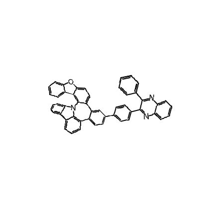 c1ccc(-c2nc3ccccc3nc2-c2ccc(-c3ccc4c(c3)-c3ccc5oc6ccccc6c5c3-n3c5ccccc5c5cccc-4c53)cc2)cc1